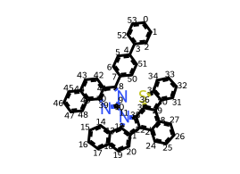 c1ccc(-c2ccc(-c3nc(-n4c5c6ccccc6ccc5c5c6ccccc6c6c7ccccc7sc6c54)nc4c3ccc3ccccc34)cc2)cc1